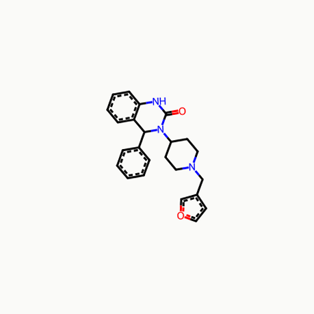 O=C1Nc2ccccc2C(c2ccccc2)N1C1CCN(Cc2ccoc2)CC1